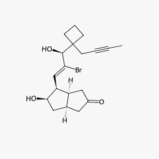 CC#CCC1([C@H](O)C(Br)=C[C@H]2[C@H]3CC(=O)C[C@H]3C[C@H]2O)CCC1